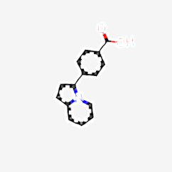 O=C(O)c1ccc(-c2ccc3ccccn23)cc1